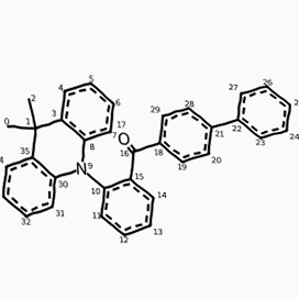 CC1(C)c2ccccc2N(c2ccccc2C(=O)c2ccc(-c3ccccc3)cc2)c2ccccc21